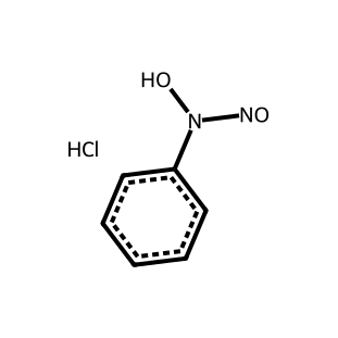 Cl.O=NN(O)c1ccccc1